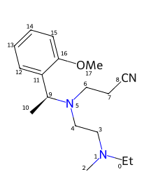 CCN(C)CCN(CCC#N)[C@@H](C)c1ccccc1OC